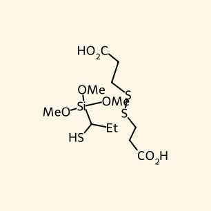 CCC(S)[Si](OC)(OC)OC.O=C(O)CCSSCCC(=O)O